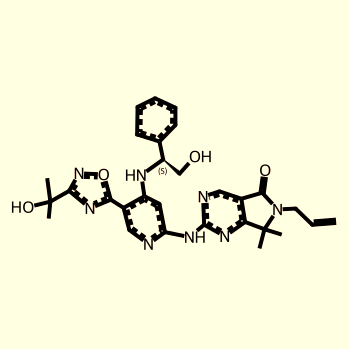 C=CCN1C(=O)c2cnc(Nc3cc(N[C@H](CO)c4ccccc4)c(-c4nc(C(C)(C)O)no4)cn3)nc2C1(C)C